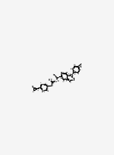 CC(NC(=O)Cc1ccc(C2CC2)nc1)c1cc2cnn(-c3ccc(F)cc3)c2cn1